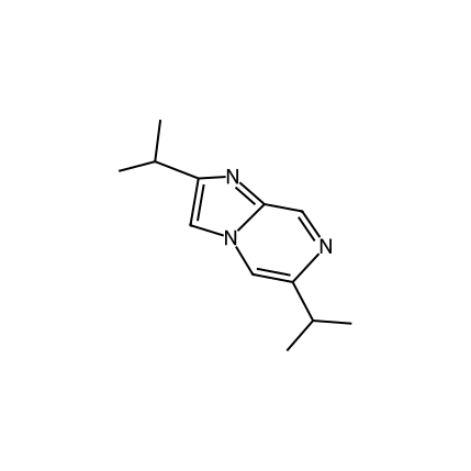 CC(C)c1cn2cc(C(C)C)nc2cn1